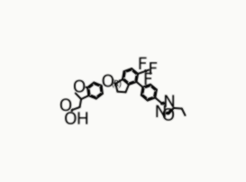 CCc1nc(-c2ccc(-c3c(C(F)(F)F)ccc4c3CC[C@H]4Oc3ccc4c(c3)OCC4CC(=O)O)cc2)no1